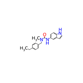 CCc1ccc(CN(C)C(=O)Nc2ccc3[nH]ccc3c2)cc1